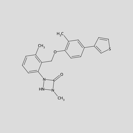 Cc1cc(-c2ccsc2)ccc1OCc1c(C)cccc1-n1[nH]n(C)c1=O